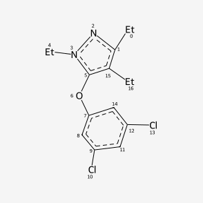 CCc1nn(CC)c(Oc2cc(Cl)cc(Cl)c2)c1CC